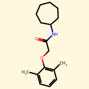 Cc1cccc(C)c1OCC(=O)NC1CCCCCC1